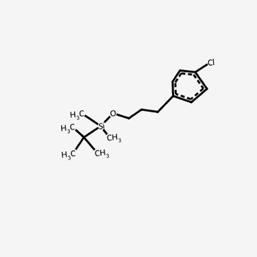 CC(C)(C)[Si](C)(C)OCCCc1ccc(Cl)cc1